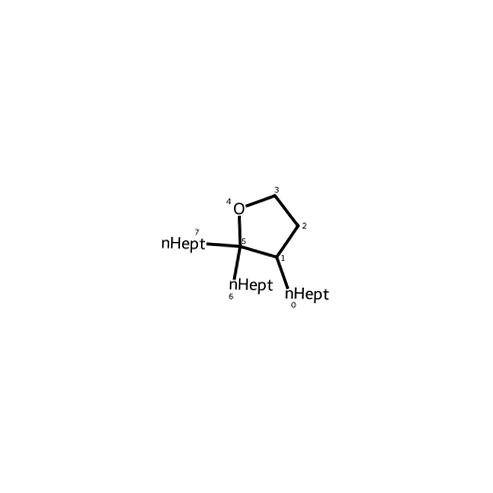 CCCCCCCC1CCOC1(CCCCCCC)CCCCCCC